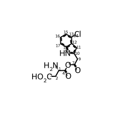 N[C@@H](CC(=O)O)C(=O)OC(=O)Cc1cc2c(Cl)cccc2[nH]1